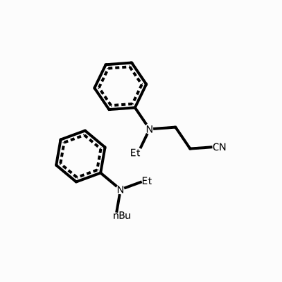 CCCCN(CC)c1ccccc1.CCN(CCC#N)c1ccccc1